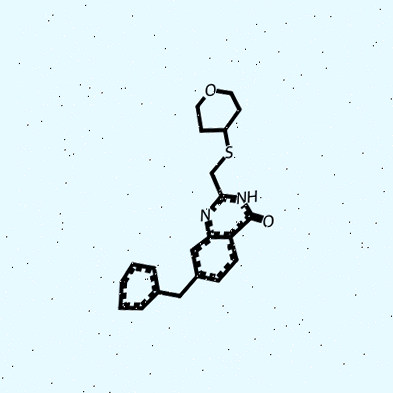 O=c1[nH]c(CSC2CCOCC2)nc2cc(Cc3ccccc3)ccc12